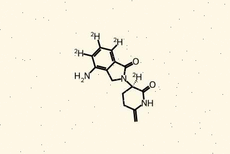 [2H]c1c([2H])c(N)c2c(c1[2H])C(=O)N([C@]1([2H])CCC(=C)NC1=O)C2